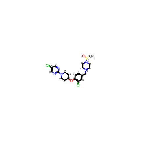 C[S+]([O-])N1CCN(Cc2ccc(OC3CCN(c4ncc(Cl)cn4)CC3)c(Cl)c2)CC1